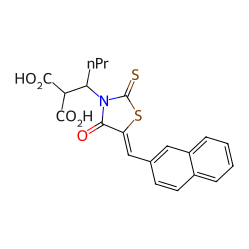 CCCC(C(C(=O)O)C(=O)O)N1C(=O)C(=Cc2ccc3ccccc3c2)SC1=S